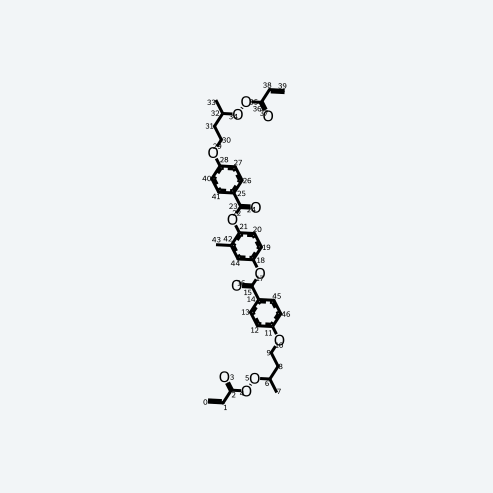 C=CC(=O)OOC(C)CCOc1ccc(C(=O)Oc2ccc(OC(=O)c3ccc(OCCC(C)OOC(=O)C=C)cc3)c(C)c2)cc1